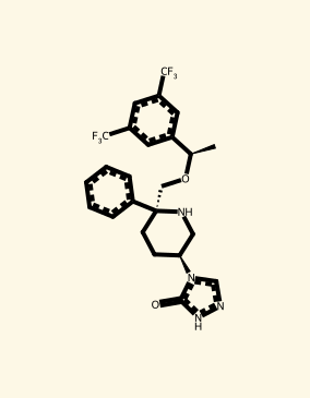 C[C@@H](OC[C@@]1(c2ccccc2)CC[C@H](n2cn[nH]c2=O)CN1)c1cc(C(F)(F)F)cc(C(F)(F)F)c1